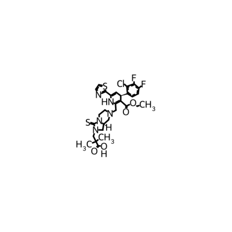 CCOC(=O)C1=C(CN2CCN3C(=S)N(CC(C)(C)C(=O)O)C[C@@H]3C2)NC(c2nccs2)=C[C@H]1c1ccc(F)c(F)c1Cl